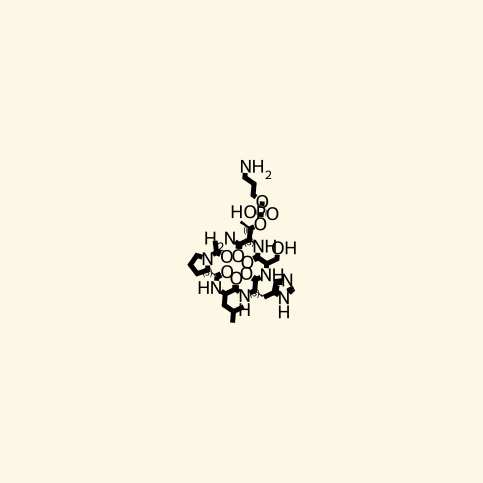 CC(=O)N1CCC[C@H]1C(=O)NC(CC(C)C)C(=O)N[C@@H](Cc1cnc[nH]1)C(=O)NC(CO)C(=O)N[C@H](C(N)=O)[C@@H](C)OP(=O)(O)OCCCN